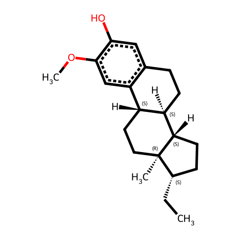 CC[C@H]1CC[C@H]2[C@@H]3CCc4cc(O)c(OC)cc4[C@H]3CC[C@]12C